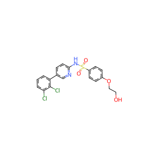 O=S(=O)(Nc1ccc(-c2cccc(Cl)c2Cl)cn1)c1ccc(OCCO)cc1